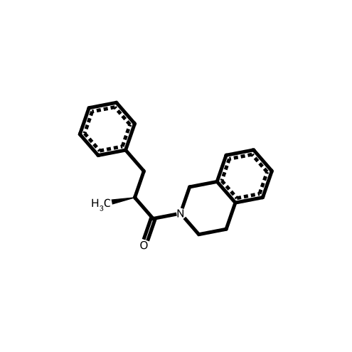 C[C@@H](Cc1ccccc1)C(=O)N1CCc2ccccc2C1